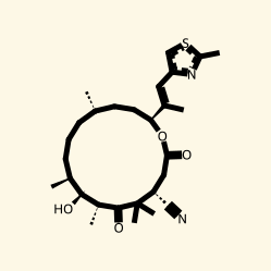 C/C(=C\c1csc(C)n1)[C@@H]1CC[C@@H](C)CCC[C@H](C)[C@H](O)[C@@H](C)C(=O)C(C)(C)[C@@H](C#N)CC(=O)O1